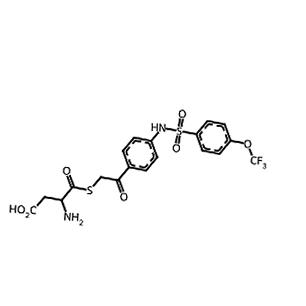 NC(CC(=O)O)C(=O)SCC(=O)c1ccc(NS(=O)(=O)c2ccc(OC(F)(F)F)cc2)cc1